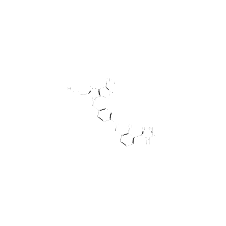 CCc1nc2c(C)nsc2n1Cc1ccc(OCc2cccc(-c3nnn[nH]3)c2Cl)cc1